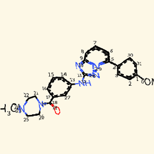 COc1ccc(-c2cccc3nc(Nc4cccc(C(=O)N5CCN(C)CC5)c4)nn23)cc1